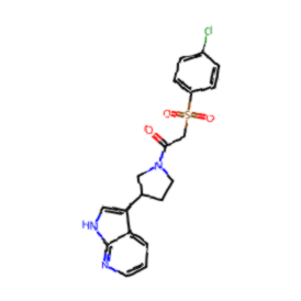 O=C(CS(=O)(=O)c1ccc(Cl)cc1)N1CCC(c2c[nH]c3ncccc23)C1